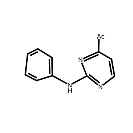 CC(=O)c1ccnc(Nc2ccccc2)n1